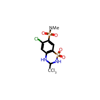 CNS(=O)(=O)c1cc2c(cc1Cl)NC(C(Cl)(Cl)Cl)NS2(=O)=O